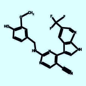 COc1cc(CNc2ncc(C#N)c(-c3c[nH]c4ncc(C(F)(F)F)cc34)n2)ccc1O